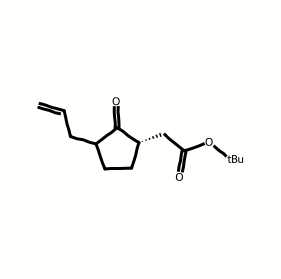 C=CCC1CC[C@@H](CC(=O)OC(C)(C)C)C1=O